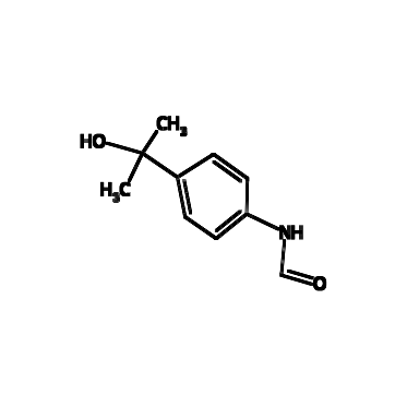 CC(C)(O)c1ccc(NC=O)cc1